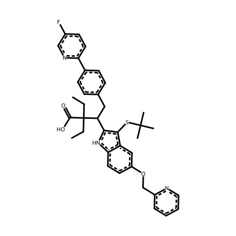 CCC(CC)(C(=O)O)C(Cc1ccc(-c2ccc(F)cn2)cc1)c1[nH]c2ccc(OCc3ccccn3)cc2c1SC(C)(C)C